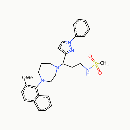 COc1ccc2ccccc2c1N1CCCN(C(CCNS(C)(=O)=O)c2ccn(-c3ccccc3)n2)CC1